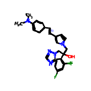 CN(C)c1ccc(/C=C/c2ccn(CC(O)(Cn3cncn3)c3ccc(F)cc3F)c2)cc1